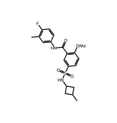 COc1ccc(S(=O)(=O)NC2CC(C)C2)cc1C(=O)Nc1ccc(F)c(C)c1